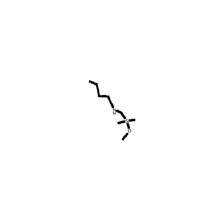 CCCCNC[Si](C)(C)OC